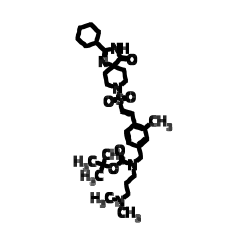 Cc1cc(CN(CCCN(C)C)C(=O)OC(C)(C)C)ccc1C=CS(=O)(=O)N1CCC2(CC1)N=C(C1CCCCC1)NC2=O